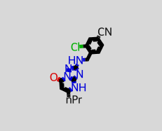 CCCc1cc(=O)n2nc(NCc3ccc(C#N)cc3Cl)nc2[nH]1